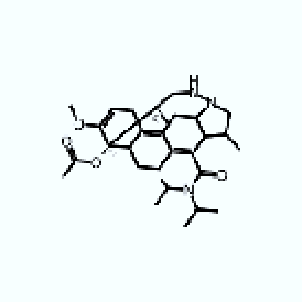 COC1=CCC2=C3CC4C5C(C(=O)N(C(C)C)C(C)C)=C3CCC2[C@]1(OC(C)=O)[C@@H](C)CNN4CC5C